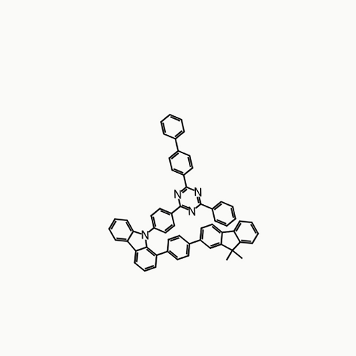 CC1(C)c2ccccc2-c2ccc(-c3ccc(-c4cccc5c6ccccc6n(-c6ccc(-c7nc(-c8ccccc8)nc(-c8ccc(-c9ccccc9)cc8)n7)cc6)c45)cc3)cc21